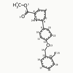 COC(=O)c1cccc(-c2ccc(OCc3ccccc3F)cc2)n1